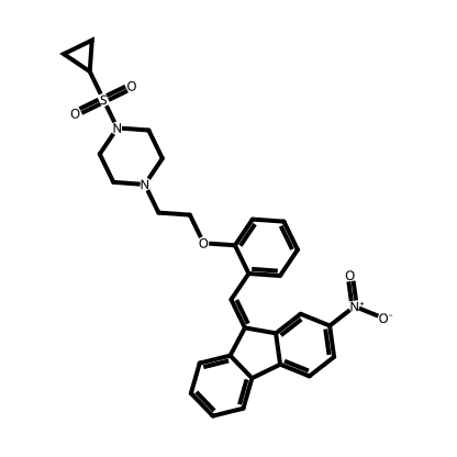 O=[N+]([O-])c1ccc2c(c1)C(=Cc1ccccc1OCCN1CCN(S(=O)(=O)C3CC3)CC1)c1ccccc1-2